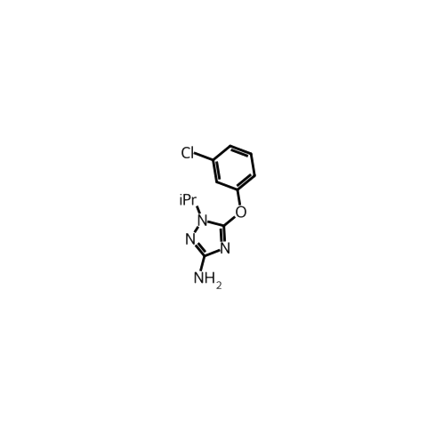 CC(C)n1nc(N)nc1Oc1cccc(Cl)c1